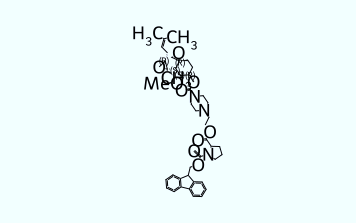 CO[C@H]1[C@H](C2(C)O[C@@H]2CC=C(C)C)[C@]2(CC[C@H]1OC(=O)N1CCN(CCOC(=O)C3CCCN3C(=O)OCC3c4ccccc4-c4ccccc43)CC1)CO2